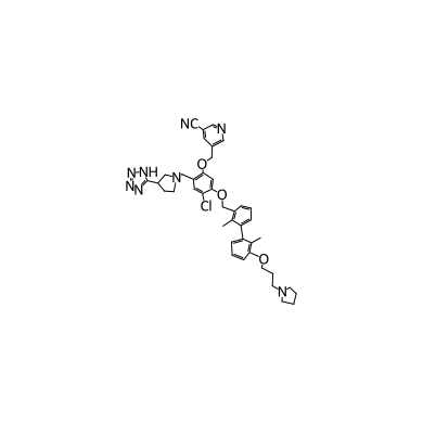 Cc1c(COc2cc(OCc3cncc(C#N)c3)c(CN3CCC(c4nnn[nH]4)C3)cc2Cl)cccc1-c1cccc(OCCCN2CCCC2)c1C